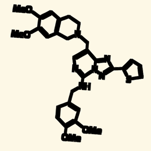 COc1ccc(CNc2ncc(CN3CCc4cc(OC)c(OC)cc4C3)c3nc(-c4cccs4)nn23)cc1OC